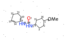 COC1CCC(NC(=O)NC2=CCCC=C2)CC1